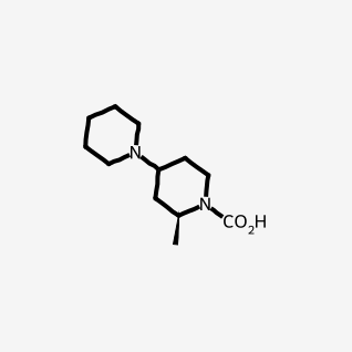 C[C@H]1CC(N2CCCCC2)CCN1C(=O)O